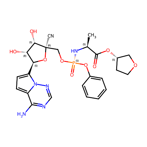 C[C@H](N[P@](=O)(OC[C@@]1(C#N)O[C@@H](c2ccc3c(N)ncnn23)[C@H](O)[C@@H]1O)Oc1ccccc1)C(=O)O[C@H]1CCOC1